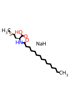 CCCCCCCCCCCCCCC(=O)N[C@@H](CCSC)C(=O)O.[NaH]